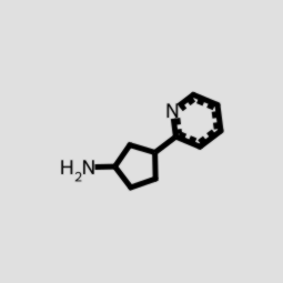 NC1CCC(c2ccccn2)C1